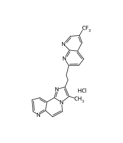 Cc1c(CCc2ccc3cc(C(F)(F)F)cnc3n2)nc2c3cccnc3ccn12.Cl